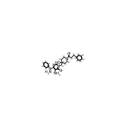 Nc1c(N(N)c2ccccc2)ncn(CC2(O)CCN(C(=O)CCc3ccccc3)CC2)c1=O